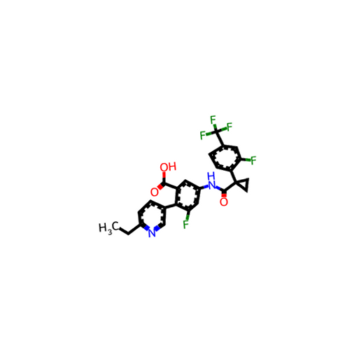 CCc1ccc(-c2c(F)cc(NC(=O)C3(c4ccc(C(F)(F)F)cc4F)CC3)cc2C(=O)O)cn1